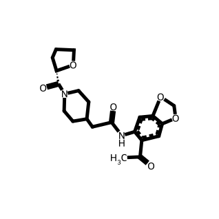 CC(=O)c1cc2c(cc1NC(=O)CC1CCN(C(=O)[C@@H]3CCCO3)CC1)OCO2